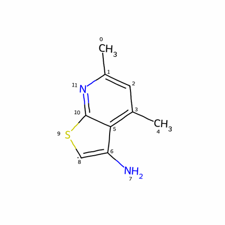 Cc1cc(C)c2c(N)[c]sc2n1